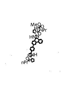 CCCC(=O)N1CCC[C@H]1c1ncc(-c2ccc(-c3ccc4c(c3)c3ccccc3c3nc([C@@H]5CCCN5C(=O)[C@@H](NC(=O)OC)C(C)C)[nH]c43)cc2)[nH]1